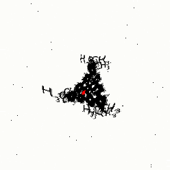 Cc1cc(-c2ccc(-c3ccccc3-c3cc(-c4ccccc4-c4ccc(-c5ccc(C(C)(C)C)cc5)nc4)c(C)c(-c4ccccc4-c4ccc(-c5ccc(C(C)(C)C)cc5)nc4)c3)cn2)ccc1C(C)(C)C